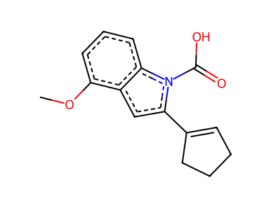 COc1cccc2c1cc(C1=CCCC1)n2C(=O)O